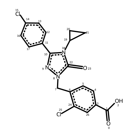 O=C(O)c1ccc(Cn2nc(-c3ccc(Cl)cc3)n(C3CC3)c2=O)c(Cl)c1